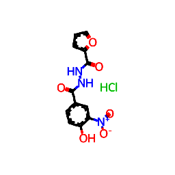 Cl.O=C(NNC(=O)c1ccco1)c1ccc(O)c([N+](=O)[O-])c1